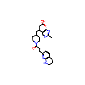 Cc1ncc(C(CC(=O)O)CC2CCN(C(=O)CCc3ccc4c(n3)NCCC4)CC2)cn1